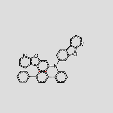 c1ccc(-c2ccc(-c3ccccc3N(c3ccc4c(c3)oc3ncccc34)c3ccc4c(c3)oc3ncccc34)cc2)cc1